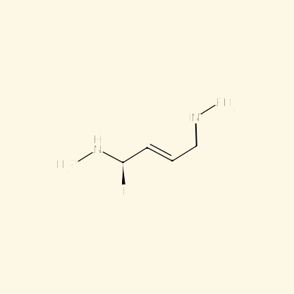 C[C@H](/C=C/[C@@H](I)NP)NP